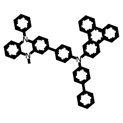 CN1c2ccccc2N(c2ccccc2)c2ccc(-c3ccc(N(c4ccc(-c5ccccc5)cc4)c4ccc5c6ccccc6c6ccccc6c5c4)cc3)cc21